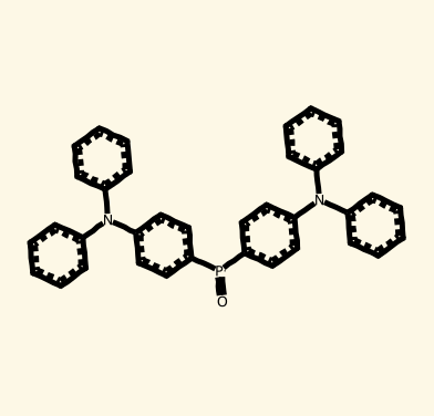 O=[P](c1ccc(N(c2ccccc2)c2ccccc2)cc1)c1ccc(N(c2ccccc2)c2ccccc2)cc1